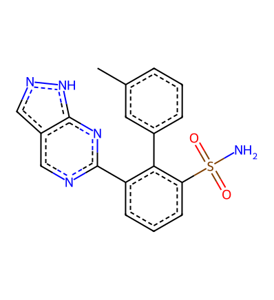 Cc1cccc(-c2c(-c3ncc4cn[nH]c4n3)cccc2S(N)(=O)=O)c1